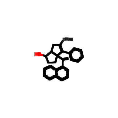 C=C(c1cccc2ccccc12)C12CCC(O)C1CC(CCCCCC)=C2c1ccccc1